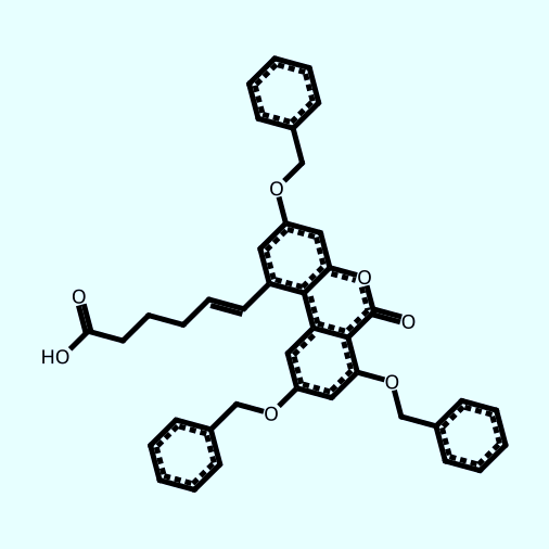 O=C(O)CCCC=Cc1cc(OCc2ccccc2)cc2oc(=O)c3c(OCc4ccccc4)cc(OCc4ccccc4)cc3c12